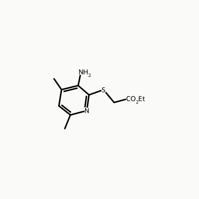 CCOC(=O)CSc1nc(C)cc(C)c1N